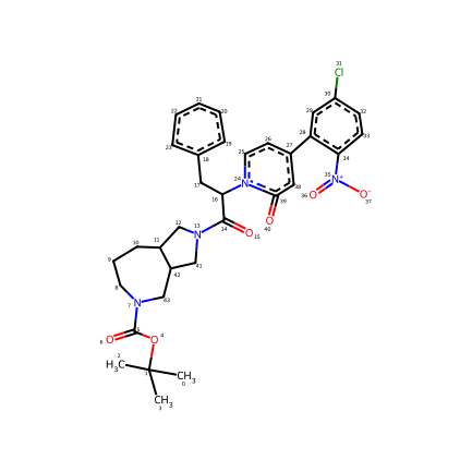 CC(C)(C)OC(=O)N1CCCC2CN(C(=O)C(Cc3ccccc3)n3ccc(-c4cc(Cl)ccc4[N+](=O)[O-])cc3=O)CC2C1